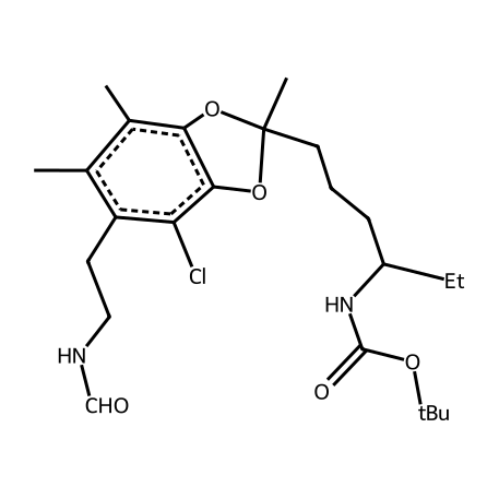 CCC(CCCC1(C)Oc2c(C)c(C)c(CCNC=O)c(Cl)c2O1)NC(=O)OC(C)(C)C